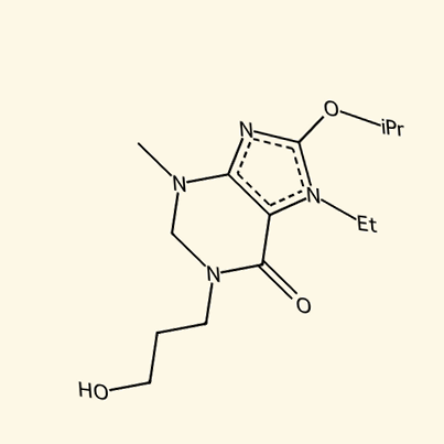 CCn1c(OC(C)C)nc2c1C(=O)N(CCCO)CN2C